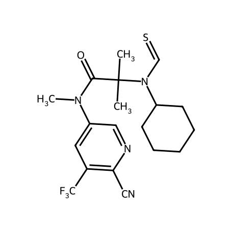 CN(C(=O)C(C)(C)N(C=S)C1CCCCC1)c1cnc(C#N)c(C(F)(F)F)c1